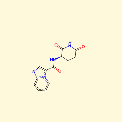 O=C1CC[C@@H](NC(=O)c2cnc3ccccn23)C(=O)N1